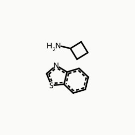 NC1CCC1.c1ccc2scnc2c1